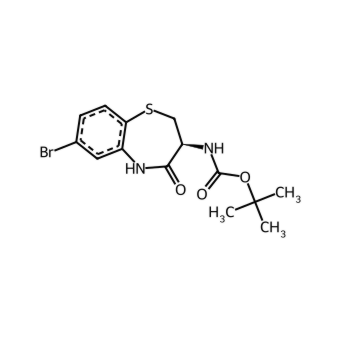 CC(C)(C)OC(=O)N[C@@H]1CSc2ccc(Br)cc2NC1=O